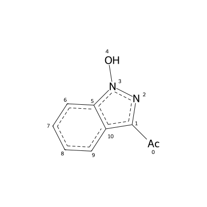 CC(=O)c1nn(O)c2ccccc12